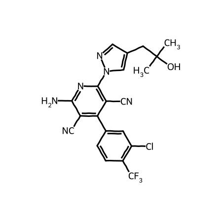 CC(C)(O)Cc1cnn(-c2nc(N)c(C#N)c(-c3ccc(C(F)(F)F)c(Cl)c3)c2C#N)c1